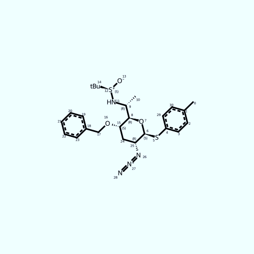 Cc1ccc(S[C@@H]2O[C@H]([C@@H](C)N[S@+]([O-])C(C)(C)C)[C@@H](OCc3ccccc3)C[C@H]2N=[N+]=[N-])cc1